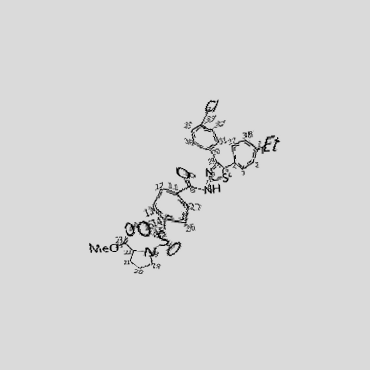 CCc1ccc(-c2sc(NC(=O)c3ccc(S(=O)(=O)N4CCCC4C(=O)OC)cc3)nc2-c2ccc(Cl)cc2)cc1